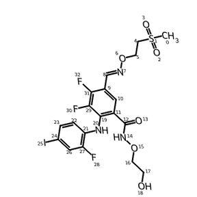 CS(=O)(=O)CCON=Cc1cc(C(=O)NOCCO)c(Nc2ccc(I)cc2F)c(F)c1F